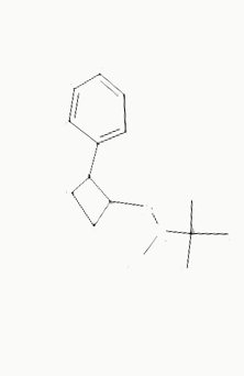 CC(C)(C)[S+]([O-])NC1CCC1c1ccccc1